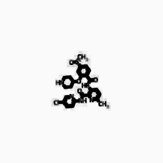 Cc1ccc(BC(=O)c2ccc([S+](C)[O-])cc2OC2CCNCC2)c(C(=O)Nc2ccc(Cl)cn2)n1